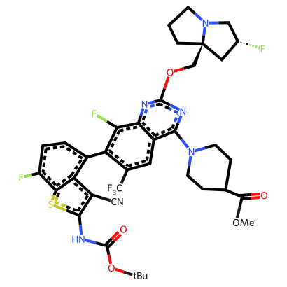 COC(=O)C1CCN(c2nc(OC[C@@]34CCCN3C[C@H](F)C4)nc3c(F)c(-c4ccc(F)c5sc(NC(=O)OC(C)(C)C)c(C#N)c45)c(C(F)(F)F)cc23)CC1